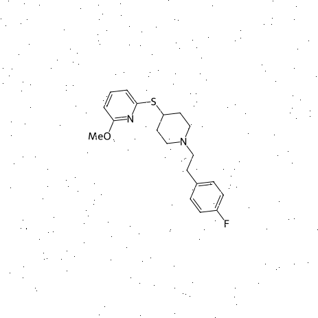 COc1cccc(SC2CCN(CCc3ccc(F)cc3)CC2)n1